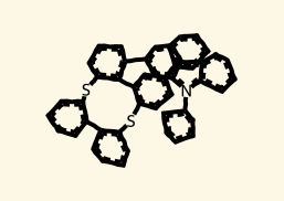 c1ccc(-c2ccc3c(c2)-c2c(cccc2-c2ccc4c5ccccc5n(-c5ccccc5)c4c2)Sc2ccccc2-c2ccccc2S3)cc1